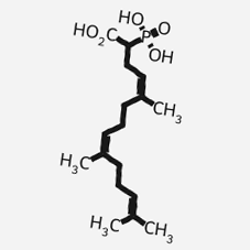 CC(C)=CCCC(C)=CCCC(C)=CCC(C(=O)O)P(=O)(O)O